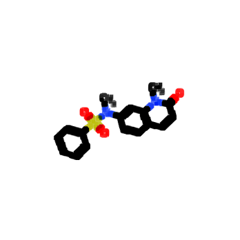 CN(c1ccc2ccc(=O)n(C)c2c1)S(=O)(=O)c1ccccc1